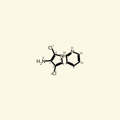 Nc1c(Cl)c[nH]c1Cl.c1ccncc1